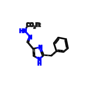 CCOC(=O)NN=Cc1c[nH]c(Cc2ccccc2)n1